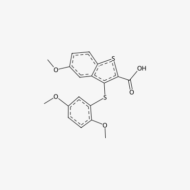 COc1ccc(OC)c(Sc2c(C(=O)O)sc3ccc(OC)cc23)c1